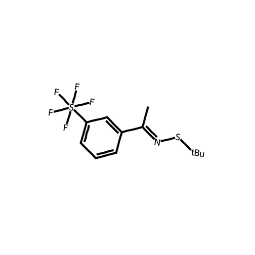 C/C(=N\SC(C)(C)C)c1cccc(S(F)(F)(F)(F)F)c1